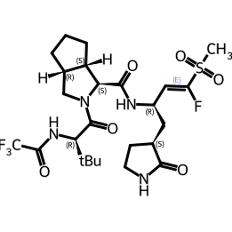 CC(C)(C)[C@@H](NC(=O)C(F)(F)F)C(=O)N1C[C@@H]2CCC[C@@H]2[C@H]1C(=O)N[C@@H](/C=C(\F)S(C)(=O)=O)C[C@@H]1CCNC1=O